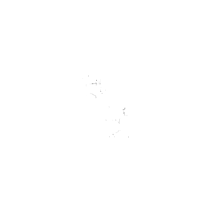 O=C1CCCC(=O)N1CCCc1cc(Cl)no1